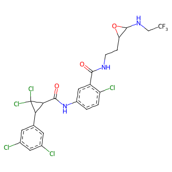 O=C(NCCC1OC1NCC(F)(F)F)c1cc(NC(=O)C2C(c3cc(Cl)cc(Cl)c3)C2(Cl)Cl)ccc1Cl